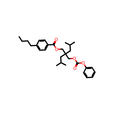 CCCCc1ccc(C(=O)OCC(COC(=O)Oc2ccccc2)(CC(C)C)CC(C)C)cc1